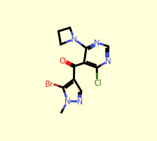 Cn1ncc(C(=O)c2c(Cl)ncnc2N2CCC2)c1Br